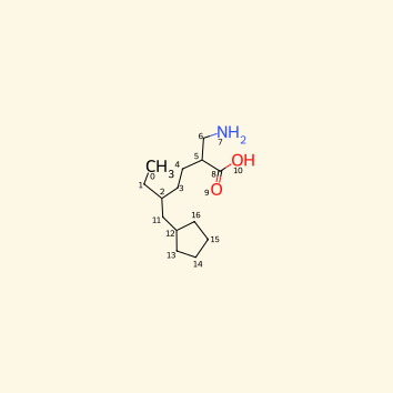 CCC(CCC(CN)C(=O)O)CC1CCCC1